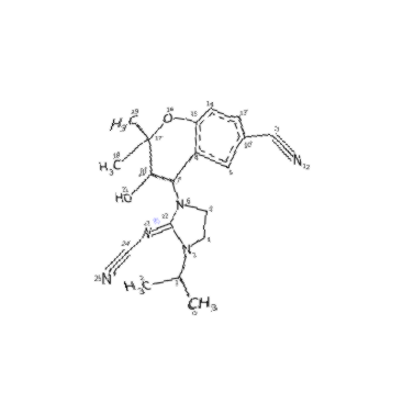 CC(C)N1CCN(C2c3cc(C#N)ccc3OC(C)(C)C2O)/C1=N/C#N